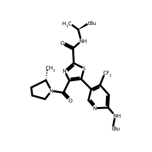 C[C@H](NC(=O)c1nc(C(=O)N2CCC[C@@H]2C)c(-c2cnc(NC(C)(C)C)cc2C(F)(F)F)s1)C(C)(C)C